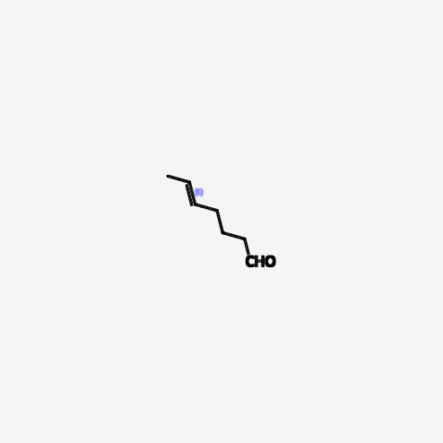 C/C=C/CCCC=O